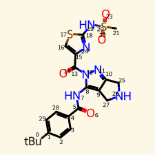 CC(C)(C)c1ccc(C(=O)Nc2c3c(nn2C(=O)c2csc(NS(C)(=O)=O)n2)CNC3)cc1